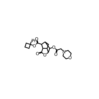 CC(C)C1(OC(=O)C2C3CC4C(OC(=O)C42)C3OC(=O)CN2CCOCC2)CCC1